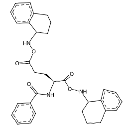 O=C(CC[C@H](NC(=O)c1ccccc1)C(=O)ONC1CCCc2ccccc21)ONC1CCCc2ccccc21